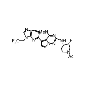 CNc1nc(N[C@H]2CCN(C(C)=O)C[C@H]2F)nn2ccc(-c3ccc4ncn(CC(F)(F)F)c4n3)c12